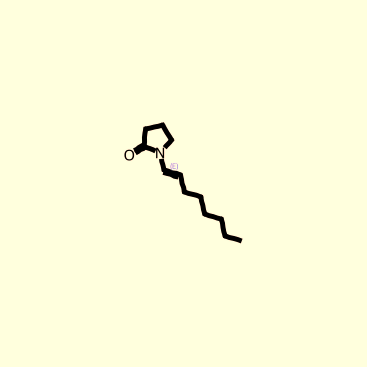 CCCCCC/C=C/N1CCCC1=O